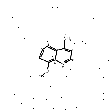 COc1cccc2c(N)ccnc12